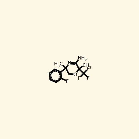 CC1(c2c[c]ccc2F)COC(C)(C(F)(F)F)C(N)=N1